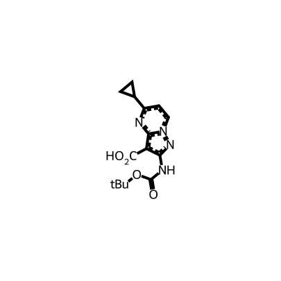 CC(C)(C)OC(=O)Nc1nn2ccc(C3CC3)nc2c1C(=O)O